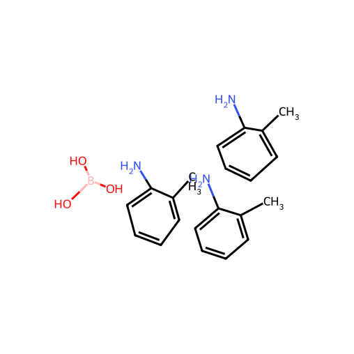 Cc1ccccc1N.Cc1ccccc1N.Cc1ccccc1N.OB(O)O